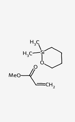 C=CC(=O)OC.C[Si]1(C)CCCCO1